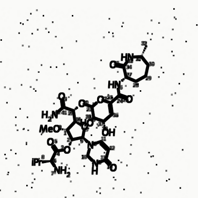 CO[C@H]1[C@@H](OC(=O)[C@@H](N)C(C)C)[C@H](N2C=CC(=O)NC2)O[C@@H]1[C@@H](OC1OC(C(=O)N[C@H]2CCC[C@@H](C)NC2=O)=C[C@H](O)[C@@H]1O)C(N)=O